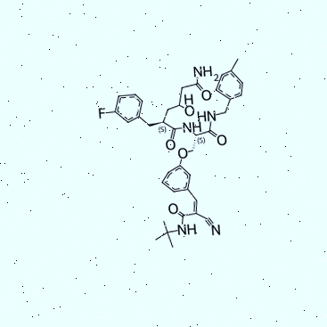 Cc1ccc(CNC(=O)[C@H](COc2cccc(C=C(C#N)C(=O)NC(C)(C)C)c2)NC(=O)[C@@H](Cc2cccc(F)c2)CC(O)CC(N)=O)cc1